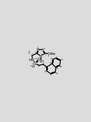 CCn1c(OC)nnc1[C@@H](C)NS(=O)(=O)CCc1cccc2ccccc12